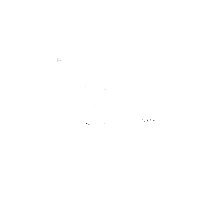 CNCc1ccccc1[C@H]1CC[C@H](Cc2cc(F)cc(O[C@@H]3CN[C@H](C(=O)O)C3)c2)CC1